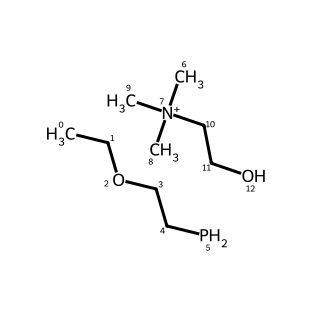 CCOCCP.C[N+](C)(C)CCO